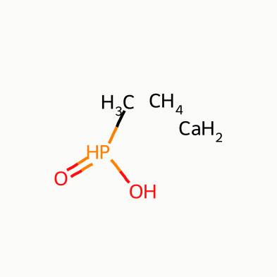 C.C[PH](=O)O.[CaH2]